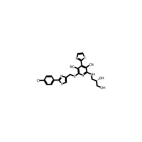 N#Cc1c(NC[C@H](O)CO)nc(SCc2csc(-c3ccc(Cl)cc3)n2)c(C#N)c1-c1nccs1